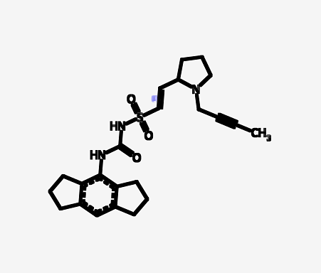 CC#CCN1CCCC1/C=C/S(=O)(=O)NC(=O)Nc1c2c(cc3c1CCC3)CCC2